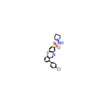 O=S(=O)(NN1CCCCC1)c1ccc2c(c1)N=Cc1c(cccc1-c1ccc(Cl)cc1)S2